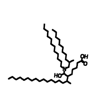 CCCCCCCCCCCCCCCC(C)C(CCCCC(=O)O)C(O)N(CCCCCCCCCCCC)CC(C)CCCCCCCCC